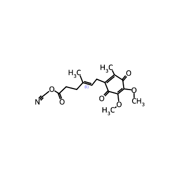 COC1=C(OC)C(=O)C(C/C=C(\C)CCC(=O)OC#N)=C(C)C1=O